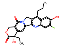 CCCc1c2c(nc3cc(F)c(O)cc13)-c1cc3c(c(=O)n1C2)COC(=O)[C@]3(O)CC